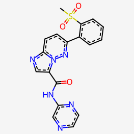 CS(=O)(=O)c1ccccc1-c1ccc2ncc(C(=O)Nc3cnccn3)n2n1